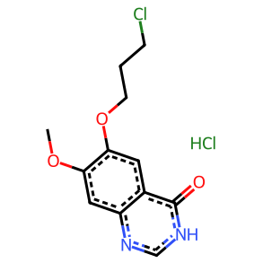 COc1cc2nc[nH]c(=O)c2cc1OCCCCl.Cl